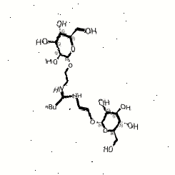 C[CH]CCC(NCCO[C@H]1O[C@H](CO)[C@@H](O)[C@H](O)[C@@H]1O)NCCO[C@H]1O[C@H](CO)[C@@H](O)[C@H](O)[C@@H]1O